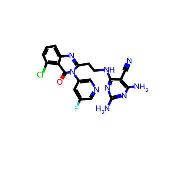 N#Cc1c(N)nc(N)nc1NCCc1nc2cccc(Cl)c2c(=O)n1-c1cncc(F)c1